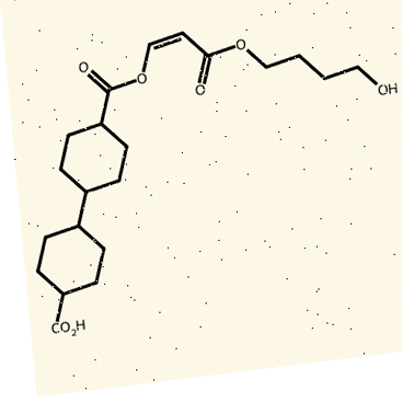 O=C(/C=C\OC(=O)C1CCC(C2CCC(C(=O)O)CC2)CC1)OCCCCO